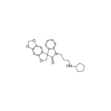 O=C1N(CCCNC2CCCC2)c2ccccc2C12COc1cc3c(cc12)OCO3